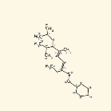 CC/C(=C\C=C(/C)C(CC(C)C)C(C)C)SOC1CCCCC1